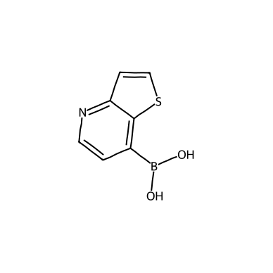 OB(O)c1ccnc2ccsc12